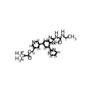 CCNC(=O)Nc1nc2cc(-c3cncc(COC(=O)C(C)C)c3)cc(-c3ncccn3)c2[nH]1